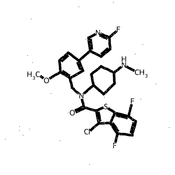 CNC1CCC(N(Cc2cc(-c3ccc(F)nc3)ccc2OC)C(=O)c2sc3c(F)ccc(F)c3c2Cl)CC1